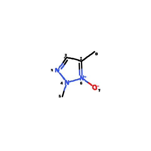 Cc1[c]nn(C)[n+]1[O-]